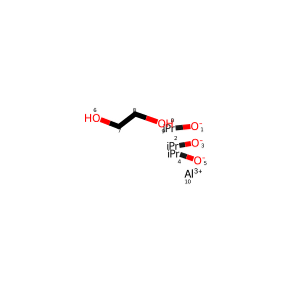 CC(C)[O-].CC(C)[O-].CC(C)[O-].OCCO.[Al+3]